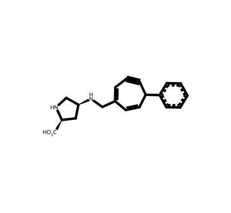 O=C(O)[C@@H]1C[C@H](NCC2=CC#CC(c3ccccc3)C=C2)CN1